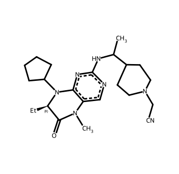 CC[C@@H]1C(=O)N(C)c2cnc(NC(C)C3CCN(CC#N)CC3)nc2N1C1CCCC1